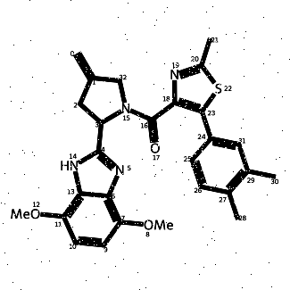 C=C1CC(c2nc3c(OC)ccc(OC)c3[nH]2)N(C(=O)c2nc(C)sc2-c2ccc(C)c(C)c2)C1